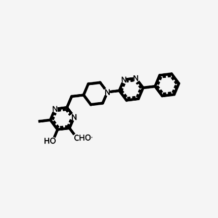 Cc1nc(CC2CCN(c3ccc(-c4ccccc4)nn3)CC2)nc([C]=O)c1O